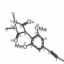 CC#Cc1cc(OC)c(C2C(=O)N(C)N(C)C2=O)c(OC)c1